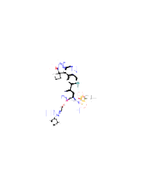 CN1C(=O)C2(CCC2)c2c1cnc1cc(F)c(-c3cnc(OCCNC4CCC4)c(NS(C)(=O)=O)c3)cc21